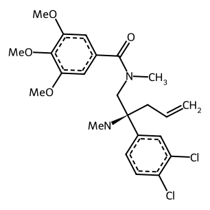 C=CC[C@](CN(C)C(=O)c1cc(OC)c(OC)c(OC)c1)(NC)c1ccc(Cl)c(Cl)c1